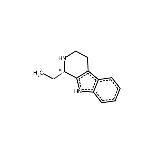 CC[C@@H]1NCCc2c1[nH]c1ccccc21